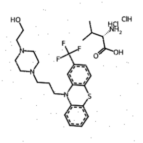 CC(C)[C@H](N)C(=O)O.Cl.Cl.OCCN1CCN(CCCN2c3ccccc3Sc3ccc(C(F)(F)F)cc32)CC1